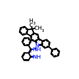 CC1(C)c2ccccc2-c2cc3c(cc21)c1ccc(-c2ccccc2)cc1n3N/C(=C1/C=CC=CC1=N)c1ccccc1